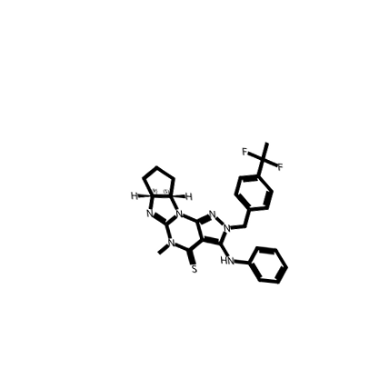 CN1C(=S)c2c(nn(Cc3ccc(C(C)(F)F)cc3)c2Nc2ccccc2)N2C1=N[C@@H]1CCC[C@@H]12